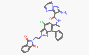 CC(NC(=O)c1c(N)nn2cccnc12)c1cc(Cl)c2cn(CCN3C(=O)c4ccccc4C3=O)nc2c1-c1ccccc1